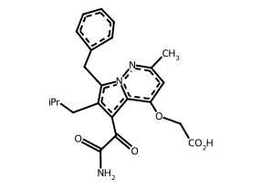 Cc1cc(OCC(=O)O)c2c(C(=O)C(N)=O)c(CC(C)C)c(Cc3ccccc3)n2n1